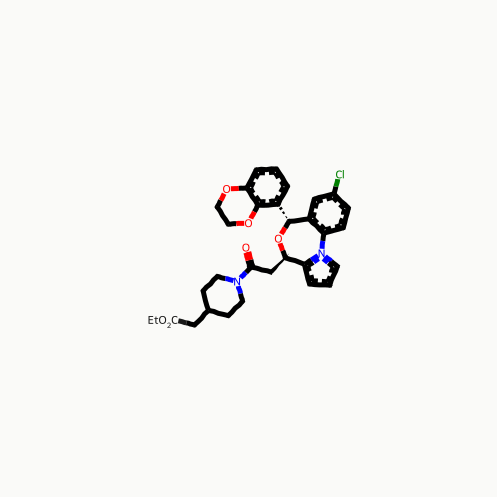 CCOC(=O)CC1CCN(C(=O)C[C@H]2O[C@H](c3cccc4c3OCCO4)c3cc(Cl)ccc3-n3cccc32)CC1